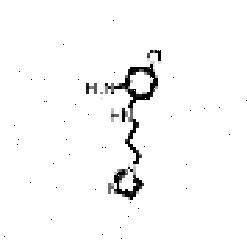 Nc1cc(Cl)ccc1NCCCn1ccnc1